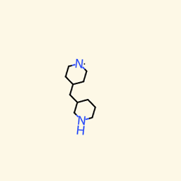 C1CNCC(CC2CC[N]CC2)C1